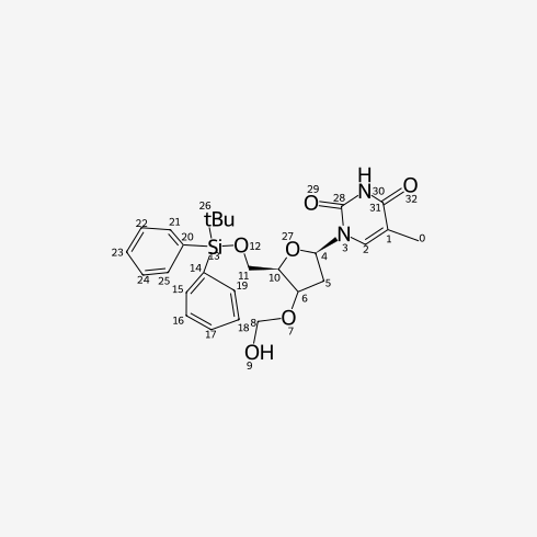 Cc1cn([C@H]2CC(OCO)[C@@H](CO[Si](c3ccccc3)(c3ccccc3)C(C)(C)C)O2)c(=O)[nH]c1=O